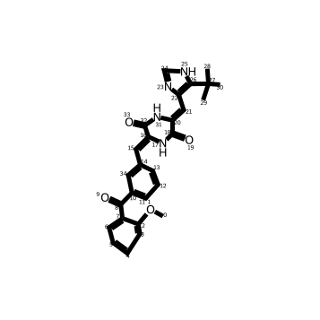 COc1ccccc1C(=O)c1cccc(/C=c2\[nH]c(=O)/c(=C/c3nc[nH]c3C(C)(C)C)[nH]c2=O)c1